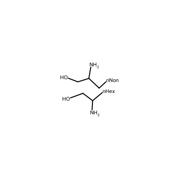 CCCCCCC(N)CO.CCCCCCCCCCC(N)CO